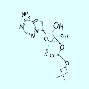 CC1(C)CC(OC(=O)O[C@@H]2[C@]3(O)[C@@H](O)[C@H](c4ccc5c(N)ncnn45)O[C@]23C#N)C1